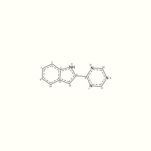 c1ccc2[nH]c(-c3ncncn3)cc2c1